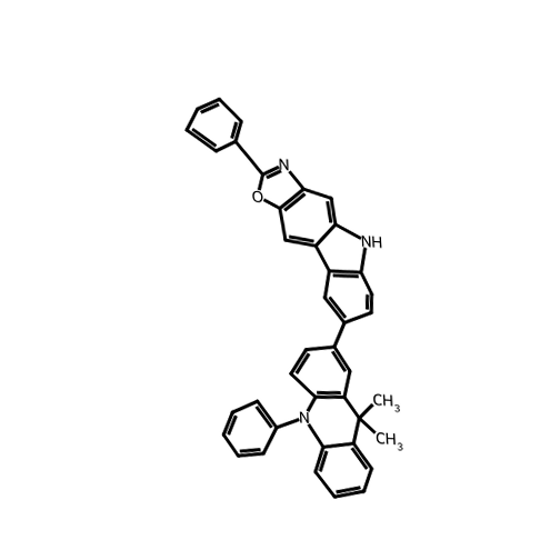 CC1(C)c2ccccc2N(c2ccccc2)c2ccc(-c3ccc4[nH]c5cc6nc(-c7ccccc7)oc6cc5c4c3)cc21